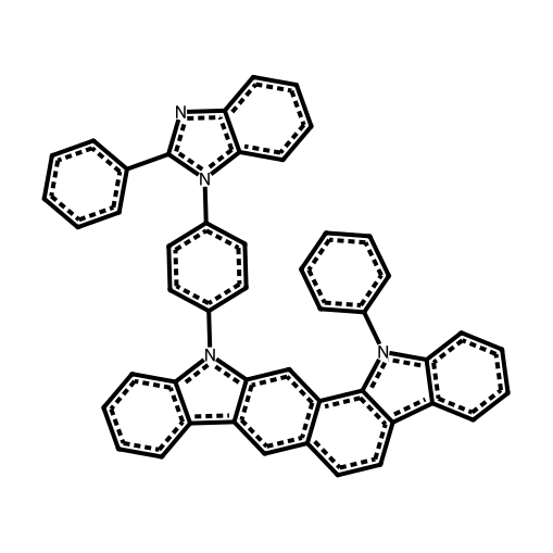 c1ccc(-c2nc3ccccc3n2-c2ccc(-n3c4ccccc4c4cc5ccc6c7ccccc7n(-c7ccccc7)c6c5cc43)cc2)cc1